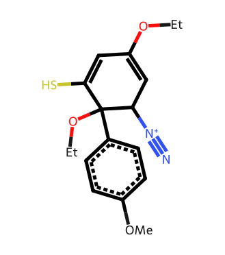 CCOC1=CC([N+]#N)C(OCC)(c2ccc(OC)cc2)C(S)=C1